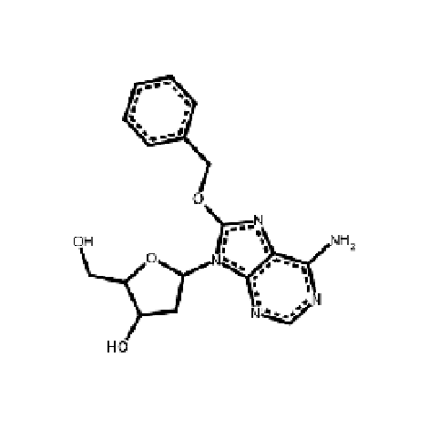 Nc1ncnc2c1nc(OCc1ccccc1)n2C1CC(O)C(CO)O1